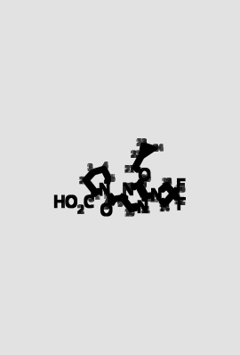 O=C(O)C1CCCCN1C(=O)c1cnc(N2CC(F)(F)C2)c(OCC2CC2)n1